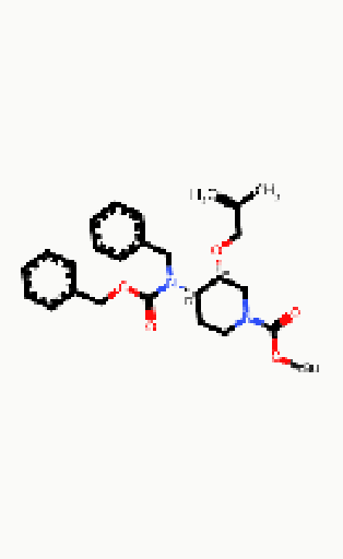 C=C(C)CO[C@@H]1CN(C(=O)OC(C)(C)C)CC[C@@H]1N(Cc1ccccc1)C(=O)OCc1ccccc1